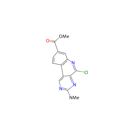 CNc1ncc2c(n1)c(Cl)nc1cc(C(=O)OC)ccc12